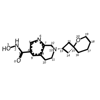 O=C(NO)c1cnc2c(c1)CCN([C@H]1C[C@]3(CCCCO3)C1)C2